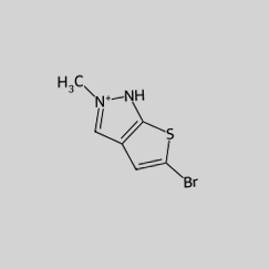 C[n+]1cc2cc(Br)sc2[nH]1